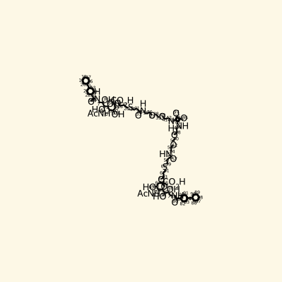 CC(=O)N[C@@H]1[C@H]([C@H](O)[C@@H](O)CNC(=O)c2ccc(-c3ccccc3)cc2)O[C@@](OCCCSCCC(=O)NCCOCCOCCNc2c(NCCOCCOCCNC(=O)CCSCCCO[C@]3(C(=O)O)C[C@H](O)[C@@H](NC(C)=O)[C@H]([C@H](O)[C@H](O)CNC(=O)c4ccc(-c5ccccc5)cc4)O3)c(=O)c2=O)(C(=O)O)C[C@H]1O